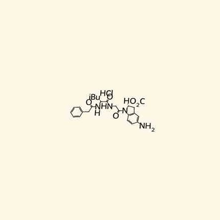 CC[C@H](C)[C@H](NC(=O)Cc1ccccc1)C(=O)NCC(=O)N1c2ccc(N)cc2C[C@H]1C(=O)O.Cl